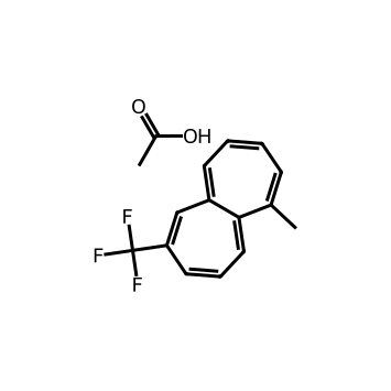 CC(=O)O.CC1=CC=CC=C2C=C(C(F)(F)F)C=CC=C12